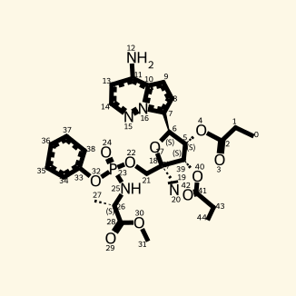 CCC(=O)O[C@H]1[C@H](c2ccc3c(N)ccnn23)O[C@](C#N)(COP(=O)(N[C@@H](C)C(=O)OC)Oc2ccccc2)[C@H]1OC(=O)CC